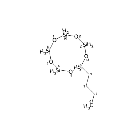 CCCC[SiH]1O[SiH2]O[SiH2]O[SiH2]O[SiH2]O1